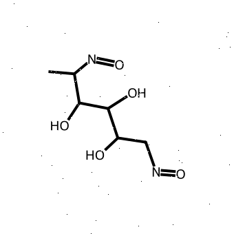 CC(N=O)C(O)C(O)C(O)CN=O